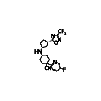 N#CC1(c2ccc(F)cn2)CCC(N[C@@H]2CC[C@H](c3nc(C(F)(F)F)no3)C2)CC1